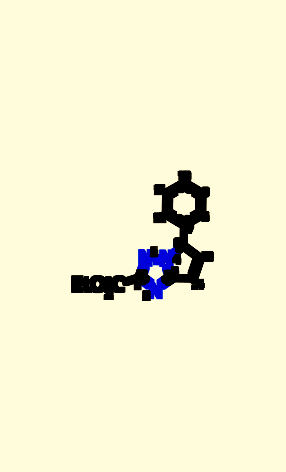 CCOC(=O)c1nc2n(n1)C(c1ccccc1)C=C2